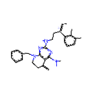 C=C1CCN(Cc2ccccc2)c2nc(NCC/C(=C/C)c3cccc(C)c3C)nc(NC)c21